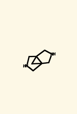 C1NCC23CNCC12C3